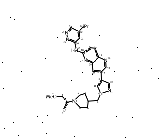 COCC(=O)N1CCC(Cn2cc(-c3cnc4ccc(Nc5cc(C(C)C)cnn5)nc4c3)cn2)CC1